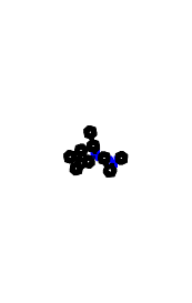 C1=CC2c3cc(N(c4ccc(-c5ccccc5)cc4)c4ccc5c(c4)C(c4ccccc4)(c4ccccc4)c4ccccc4-5)ccc3N(c3ccccc3)C2C=C1